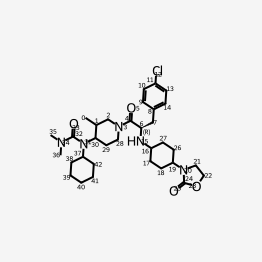 CC1CN(C(=O)[C@@H](Cc2ccc(Cl)cc2)NC2CCC(N3CCOC3=O)CC2)CCC1N(C(=O)N(C)C)C1CCCCC1